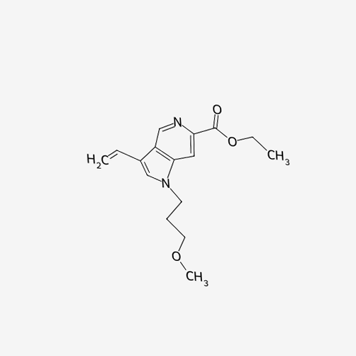 C=Cc1cn(CCCOC)c2cc(C(=O)OCC)ncc12